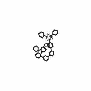 N#Cc1ccc2c(c1)C1(CCCCC1)c1cccc(C3=CC=CC(c4cccc(-c5ccc(-c6nc(-c7ccccc7)nc(-c7ccccc7)n6)cc5)c4)C3)c1-2